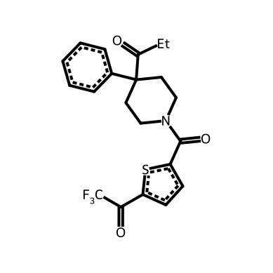 CCC(=O)C1(c2ccccc2)CCN(C(=O)c2ccc(C(=O)C(F)(F)F)s2)CC1